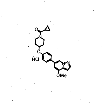 COc1cc(-c2ccc(OC3CCN(C(=O)C4CC4)CC3)cc2)cn2nccc12.Cl